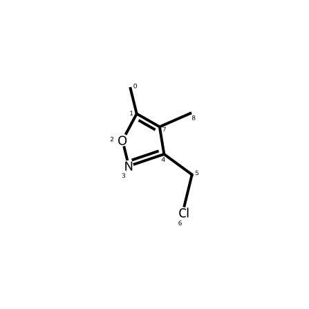 Cc1onc(CCl)c1C